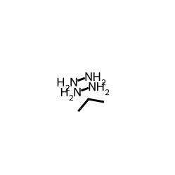 CCC.NN.NN